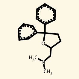 CN(C)CC1CCC(c2ccccc2)(c2ccccc2)O1